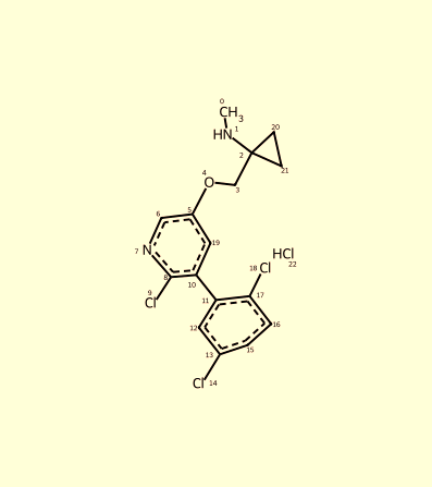 CNC1(COc2cnc(Cl)c(-c3cc(Cl)ccc3Cl)c2)CC1.Cl